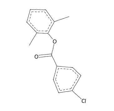 Cc1cccc(C)c1OC(=O)c1ccc(Cl)cc1